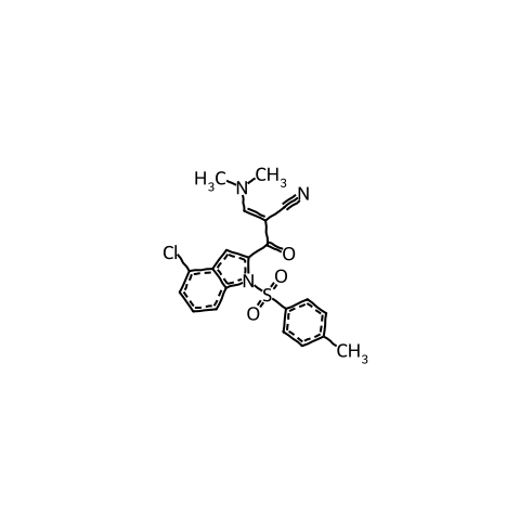 Cc1ccc(S(=O)(=O)n2c(C(=O)/C(C#N)=C/N(C)C)cc3c(Cl)cccc32)cc1